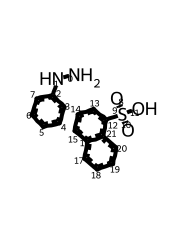 NNc1ccccc1.O=S(=O)(O)c1cccc2ccccc12